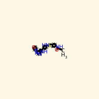 CC#CC(=O)Nc1ccc(CSNc2ccc(-c3cc4c(N5CCOCC5)ncnc4[nH]3)cc2)cc1